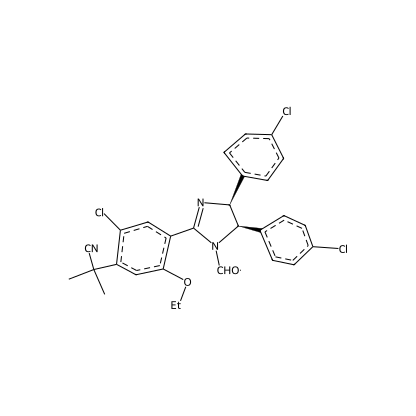 CCOc1cc(C(C)(C)C#N)c(Cl)cc1C1=N[C@@H](c2ccc(Cl)cc2)[C@@H](c2ccc(Cl)cc2)N1[C]=O